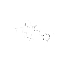 CCC(NC(=O)C(CC(C)C)NC(=O)NC(C)(C)C)C(=O)C(=O)NCc1cc(OC)cc(OC)c1